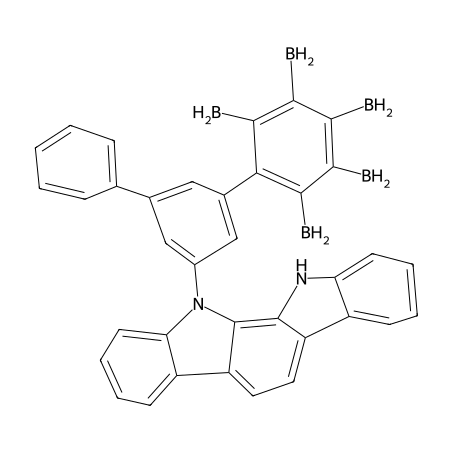 Bc1c(B)c(B)c(-c2cc(-c3ccccc3)cc(-n3c4ccccc4c4ccc5c6ccccc6[nH]c5c43)c2)c(B)c1B